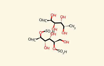 C[C@H](O)[C@@H](O)[C@@H](O)[C@H](O)C=O.O=C[C@@H](OS(=O)(=O)O)[C@@H](O)[C@H](O)[C@@H](CO)OS(=O)(=O)O